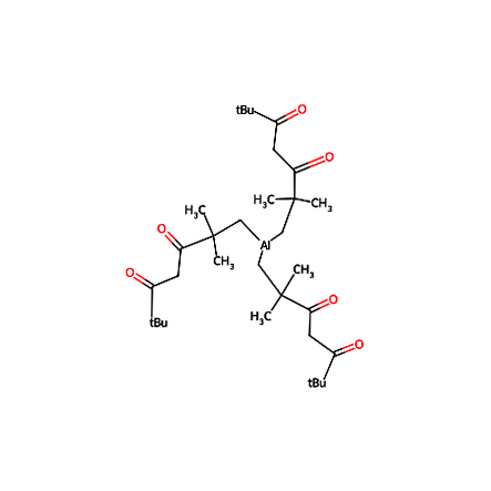 CC(C)(C)C(=O)CC(=O)C(C)(C)[CH2][Al]([CH2]C(C)(C)C(=O)CC(=O)C(C)(C)C)[CH2]C(C)(C)C(=O)CC(=O)C(C)(C)C